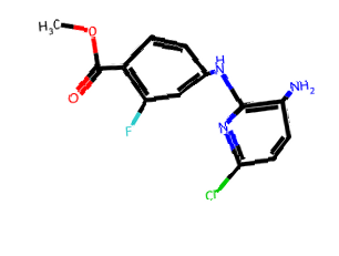 COC(=O)c1ccc(Nc2nc(Cl)ccc2N)cc1F